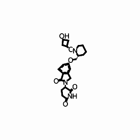 O=C1CC[C@@H](N2Cc3cc(OC[C@H]4CCCCN4CC4CC(O)C4)ccc3C2=O)C(=O)N1